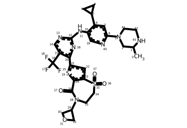 CC1CN(c2cc(C3CC3)c(Nc3ncc(C(F)(F)F)c(-c4cc5c(s4)C(=O)N(C4COC4)CCS5(=O)=O)n3)cn2)CCN1